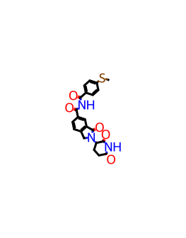 CSc1ccc(C(=O)NC(=O)c2ccc3c(c2)C(=O)N(C2CCC(=O)NC2=O)C3)cc1